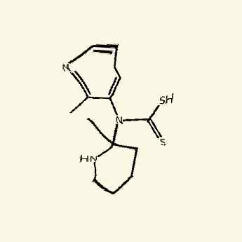 Cc1ncccc1N(C(=S)S)C1(C)CCCCN1